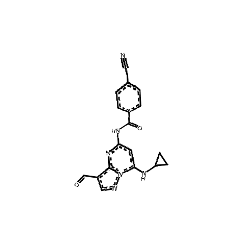 N#Cc1ccc(C(=O)Nc2cc(NC3CC3)n3ncc(C=O)c3n2)cc1